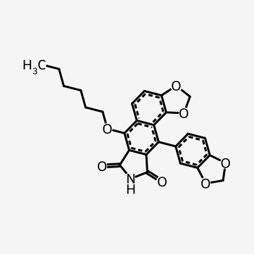 CCCCCCOc1c2c(c(-c3ccc4c(c3)OCO4)c3c4c(ccc13)OCO4)C(=O)NC2=O